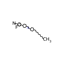 CCCCCCCCCC1CCC(/C=C/C2CCC(c3ccc(C#N)c(F)c3)CC2)CC1